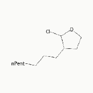 CCCCCCCCC1CCOC1Cl